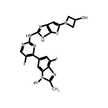 Cc1nc2c(F)cc(-c3nc(Nc4nc5cc(N6CC(O)C6)oc5[nH]4)ncc3F)cc2n1C(C)C